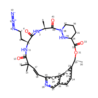 C[C@@H]1NC(=O)[C@H](CCN=[N+]=[N-])NC(=O)C(C)(C)/C=C/c2cc3cc(ccc3cn2)[C@@H](C)OC(=O)C2CCCN(N2)C1=O